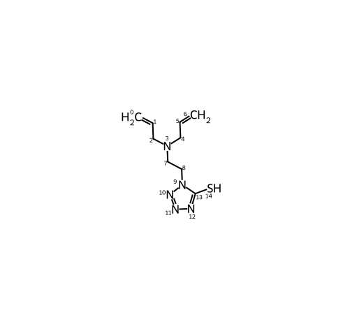 C=CCN(CC=C)CCn1nnnc1S